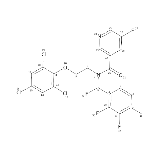 Cc1ccc(C(F)N(CCOc2c(Cl)cc(Cl)cc2Cl)C(=O)c2cncc(F)c2)c(F)c1F